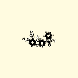 COc1cc(Oc2ncc(-n3c(=O)[nH]c4cnccc43)cc2C)ccc1C